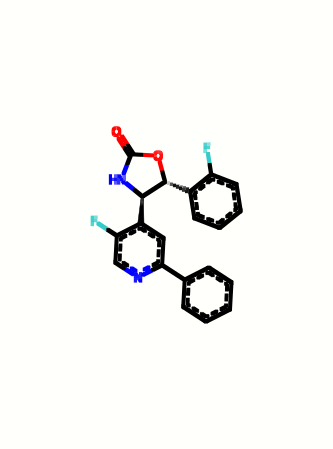 O=C1N[C@H](c2cc(-c3ccccc3)ncc2F)[C@@H](c2ccccc2F)O1